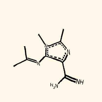 CC(C)=Nc1c(C(=N)N)nc(C)n1C